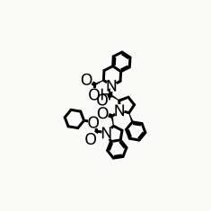 O=C(O)[C@H]1Cc2ccccc2CN1C(=O)[C@H]1CC[C@@H](c2ccccc2)N1C(=O)[C@H]1Cc2ccccc2N1C(=O)OC1CCCCC1